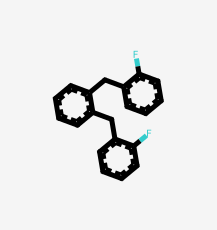 Fc1ccccc1Cc1[c]cccc1Cc1ccccc1F